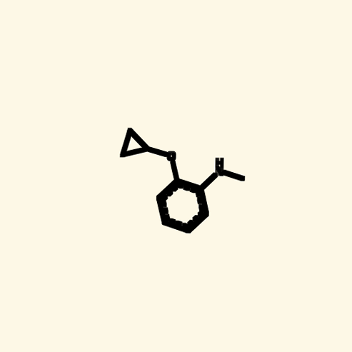 CNc1ccccc1OC1CC1